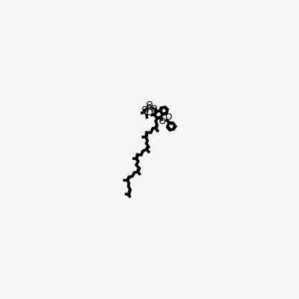 CCOP(=O)(OCC)Oc1c(C)c(CC=C(C)CCC=C(C)CCC=C(C)CCC=C(C)CCC=C(C)CCC=C(C)CCC=C(C)C)c(OC(=O)c2ccccc2)c2ccccc12